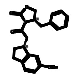 COc1ccc2c(c1)[C@@H](CC(=O)N1C(=O)OC[C@H]1Cc1ccccc1)CC2